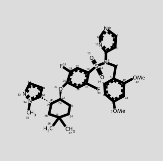 COc1ccc(CN(c2ccncn2)S(=O)(=O)c2cc(F)c(O[C@H]3CCC(C)(C)C[C@@H]3c3ccnn3C)cc2F)c(OC)c1